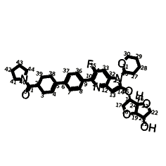 O=C(C1CC=C(c2ccc(-c3nc4cc(O[C@@H]5COC6[C@H](O)CO[C@@H]65)n(C5CCCCO5)c4cc3F)cc2)CC1)N1CCCC1